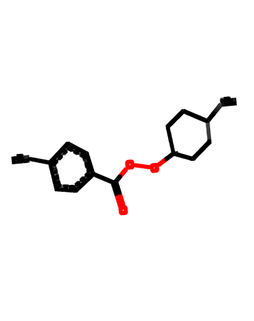 CCCCc1ccc(C(=O)OO[C]2CCC(C(C)(C)C)CC2)cc1